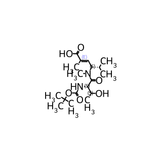 C/C(=C\[C@H](C(C)C)N(C)C(=O)[C@@H](NC(=O)OC(C)(C)C)[C@H](C)O)C(=O)O